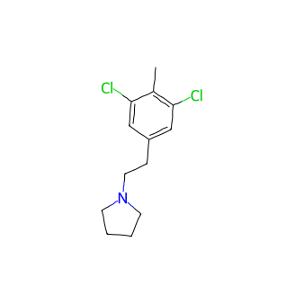 Cc1c(Cl)cc(CCN2CCCC2)cc1Cl